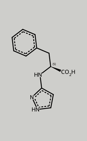 O=C(O)[C@H](Cc1ccccc1)Nc1cc[nH]n1